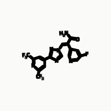 NC(=O)/C(=C/n1cnc(-c2cc(C(F)(F)F)nc(C(F)(F)F)c2)n1)c1cncc(F)c1